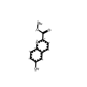 CC(C)(C)OC(=O)c1ccc2cc(O)ccc2n1